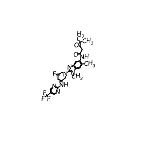 Cc1cc2c(cc1NC(=O)CC1OC1(C)C)nc(N1C[C@H](F)C[C@@H](Nc3ncc(C(F)(F)F)cn3)C1)n2C